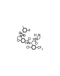 Cc1cc(F)cc(S(=O)(=O)N2CCOc3ccc(C(=O)N[C@@H](CC(=O)NC[C@@H](C)N)c4cc(C(F)(F)F)ccc4Cl)cc32)c1